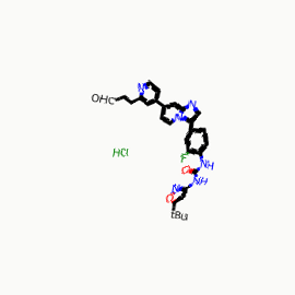 CC(C)(C)c1cc(NC(=O)Nc2ccc(-c3cnc4cc(-c5ccnc(CCC=O)c5)ccn34)cc2F)no1.Cl